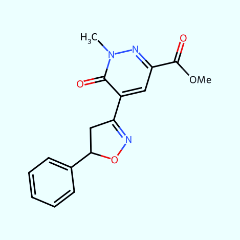 COC(=O)c1cc(C2=NOC(c3ccccc3)C2)c(=O)n(C)n1